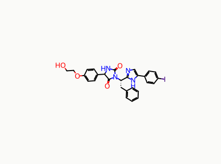 O=C1NC(c2ccc(OCCO)cc2)C(=O)N1[C@@H](Cc1ccccc1)c1ncc(-c2ccc(I)cc2)[nH]1